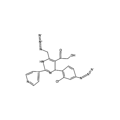 [N-]=[N+]=NCC1=C(C(=O)CO)C(c2ccc(N=[N+]=[N-])cc2Cl)N=C(c2ccncc2)N1